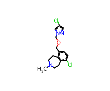 CN1CCc2c(Cl)ccc(COCn3cc(Cl)cn3)c2CC1